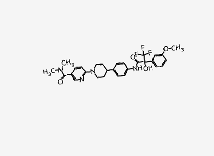 COc1cccc(C(O)(C(=O)Nc2ccc(C3CCN(c4ccc(C(=O)N(C)C)cn4)CC3)cc2)C(F)(F)F)c1